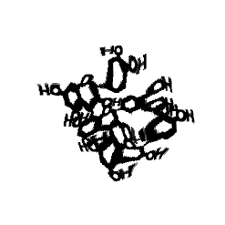 OC1=C(O)CC([C@H]2Oc3c(c(O)cc(O)c3[C@H]3c4c(O)cc(O)cc4O[C@H](C4C=CC(O)=C(O)C4)C3O)[C@H](c3c(O)cc(O)c4c3O[C@H](C3C=CC(O)=C(O)C3)C(O)C4)C2O)C=C1